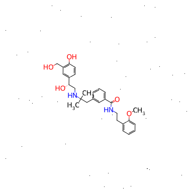 COc1ccccc1CCNC(=O)c1cccc(CC(C)(C)NC[C@H](O)c2ccc(O)c(CO)c2)c1